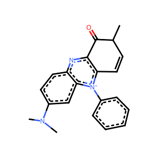 CC1C=Cc2c(nc3ccc(N(C)C)cc3[n+]2-c2ccccc2)C1=O